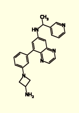 CC(Nc1cc(-c2cccc(N3CC(N)C3)c2)c2nccnc2c1)c1cccnc1